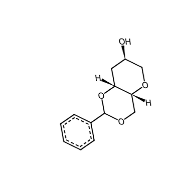 O[C@H]1CO[C@@H]2COC(c3ccccc3)O[C@@H]2C1